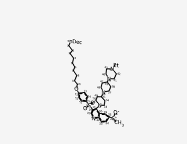 CCCCCCCCCCCCCCCCCCCCOc1ccc(S(=O)(=O)c2cnc3ccc([S+](C)[O-])cc3c2N2CCC(N3CCC(N4CCN(CC)CC4)CC3)CC2)cc1